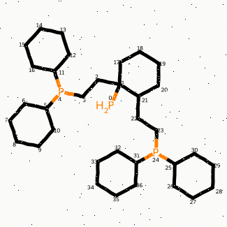 PC1(CCP(C2CCCCC2)C2CCCCC2)CCCCC1CCP(C1CCCCC1)C1CCCCC1